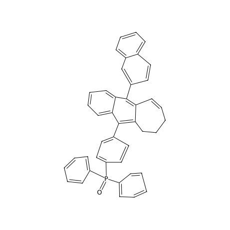 O=P(c1ccccc1)(c1ccccc1)c1ccc(-c2c3c(c(-c4ccc5ccccc5c4)c4ccccc24)C=CCCC3)cc1